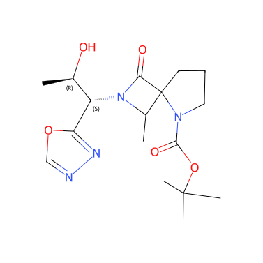 CC1N([C@H](c2nnco2)[C@@H](C)O)C(=O)C12CCCN2C(=O)OC(C)(C)C